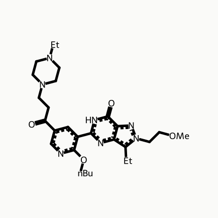 CCCCOc1ncc(C(=O)CCN2CCN(CC)CC2)cc1-c1nc2c(CC)n(CCOC)nc2c(=O)[nH]1